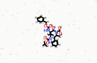 CC(C)(C)OC(=O)NC(C)(C)C(NC(=O)OCc1ccccc1)C(=O)N1C(=O)OCC1Cc1ccccc1